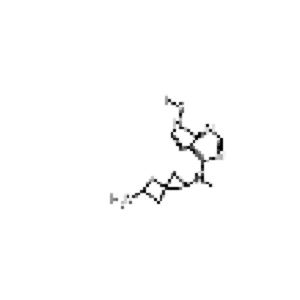 CN(c1ncnc2c1ccn2SI)C1CC2(CC(N)C2)C1